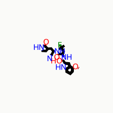 COc1cccc2[nH]c(C(O)NC(CC(C)(C)F)C(=O)NC(C#N)CC3CCNC3=O)cc12